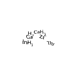 [CaH2].[GaH3].[InH3].[Tb].[Zr]